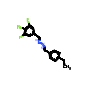 CCc1ccc(/C=N/N=C/c2cc(F)c(F)c(F)c2)cc1